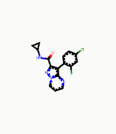 O=C(NC1CC1)c1nn2cccnc2c1-c1ccc(Cl)cc1F